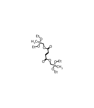 CCO[Si](C)(COC(=O)/C=C/C(=O)OC[Si](C)(OCC)OCC)OCC